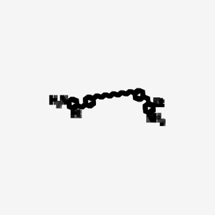 CCc1cc(N)ccc1Cc1ccc(CCCCCCCCCc2ccc(Cc3ccc(N)cc3CC)cc2)cc1